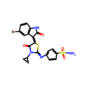 NS(=O)(=O)c1ccc(/N=C2\S/C(=C3\C(=O)Nc4ccc(Br)cc43)C(=O)N2C2CC2)cc1